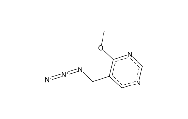 COc1ncncc1CN=[N+]=[N-]